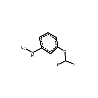 N#CNc1cccc(OC(F)F)c1